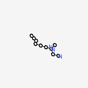 c1ccc(-c2nc(-c3ccc(-c4ccc(-c5cccc6c5ccc5cc7ccccc7cc56)cc4)cc3)cc(-c3cccc(-c4ccncc4)c3)n2)cc1